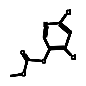 COC(=O)Oc1cnc(Cl)cc1Cl